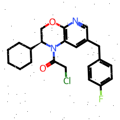 O=C(CCl)N1c2cc(Cc3ccc(F)cc3)cnc2OC[C@@H]1C1CCCCC1